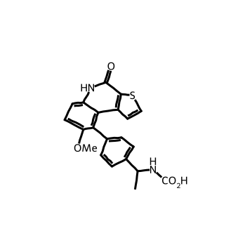 COc1ccc2[nH]c(=O)c3sccc3c2c1-c1ccc(C(C)NC(=O)O)cc1